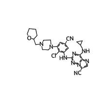 N#Cc1cc(Nc2nc(NC3CC3)c3ncc(C#N)n3n2)c(Cl)c(N2CCN(CC3CCCCO3)CC2)c1